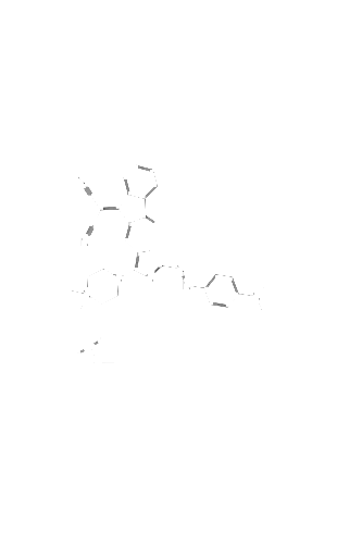 CN(C)c1ccc(/N=N/c2nc(N3CC[N+](C)(C)CC3)c(/C=C3\C(=O)c4ccccc4C3=C(C#N)C#N)s2)cc1.COS(=O)(=O)[O-]